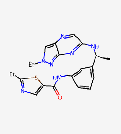 CCc1ncc(C(=O)Nc2cccc([C@H](C)Nc3cnc4cn(CC)nc4n3)c2)s1